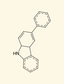 C1=CC2Nc3ccccc3C2C=C1c1ccccc1